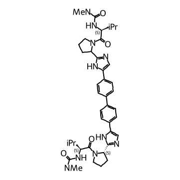 CNC(=O)N[C@H](C(=O)N1CCCC1c1ncc(-c2ccc(-c3ccc(-c4cnc([C@@H]5CCCN5C(=O)[C@@H](NC(=O)NC)C(C)C)[nH]4)cc3)cc2)[nH]1)C(C)C